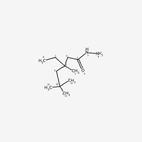 CCC(C)(CC(=O)NN)CC(C)(C)C